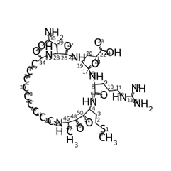 CSCCC1NC(=O)[C@H](CCCNC(=N)N)NC(=O)C(CCC(=O)O)NC(=O)[C@H](CC(N)=O)NC(=O)CCCCCCCCCNC(C)C(=O)C1=O